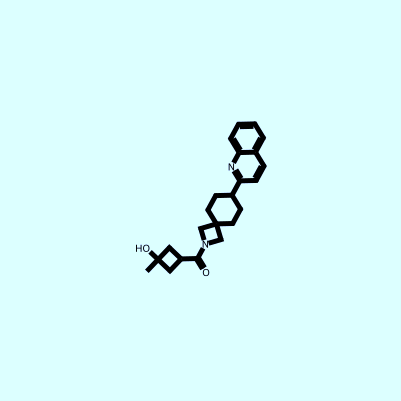 CC1(O)CC(C(=O)N2CC3(CCC(c4ccc5ccccc5n4)CC3)C2)C1